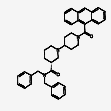 O=C(c1c2ccccc2cc2ccccc12)N1CCC(N2CCC[C@@H](C(=O)N(Cc3ccccc3)Cc3ccccc3)C2)CC1